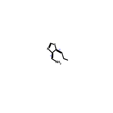 CC/C=c1/scn/c1=C/N